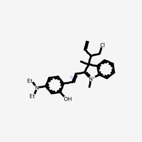 C=CC(CCl)C1(C)C(/C=C/c2ccc(N(CC)CC)cc2O)=[N+](C)c2ccccc21